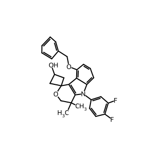 CC1(C)COC2(CC(O)C2)c2c1n(-c1ccc(F)c(F)c1)c1cccc(OCc3ccccc3)c21